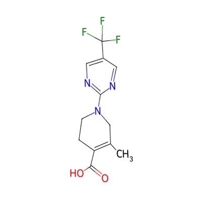 CC1=C(C(=O)O)CCN(c2ncc(C(F)(F)F)cn2)C1